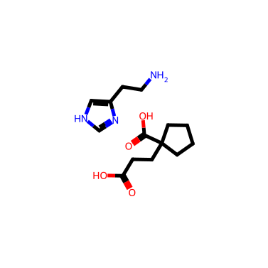 NCCc1c[nH]cn1.O=C(O)CCC1(C(=O)O)CCCC1